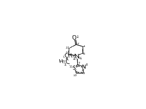 C=C.O=C1CCN(c2nccs2)CC1